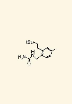 Cc1ccc(CNC(N)=O)c(CCC(C)(C)C)c1